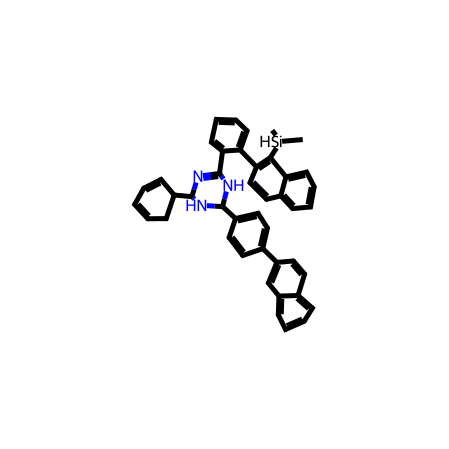 C[SiH](C)c1c(-c2ccccc2C2=NC(C3C=CC=CC3)NC(c3ccc(-c4ccc5ccccc5c4)cc3)N2)ccc2ccccc12